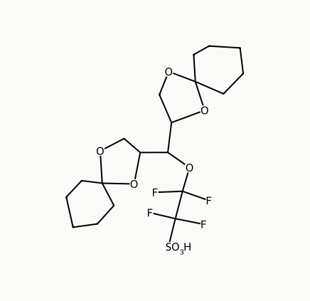 O=S(=O)(O)C(F)(F)C(F)(F)OC(C1COC2(CCCCC2)O1)C1COC2(CCCCC2)O1